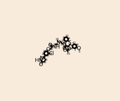 COc1ccc([C@@H]2Sc3ccccc3N(CCN(C)CCNC(=O)COc3ccc(C4=NNC(=O)CC4)cc3Cl)C(=O)[C@@H]2OC(C)=O)cc1